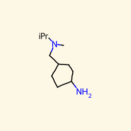 CC(C)N(C)CC1CCC(N)CC1